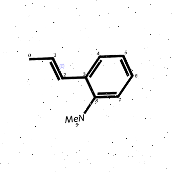 C/C=C/c1ccccc1NC